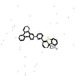 C[C@@]12CC=CC(c3cccc(-c4ccc5c(c4)c4c(c6ccccc65)C=CCC4)c3)=C1Sc1ccccc12